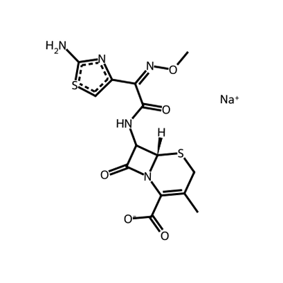 CO/N=C(\C(=O)NC1C(=O)N2C(C(=O)[O-])=C(C)CS[C@@H]12)c1csc(N)n1.[Na+]